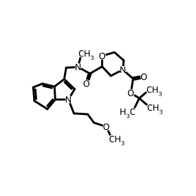 COCCCn1cc(CN(C)C(=O)C2CN(C(=O)OC(C)(C)C)CCO2)c2ccccc21